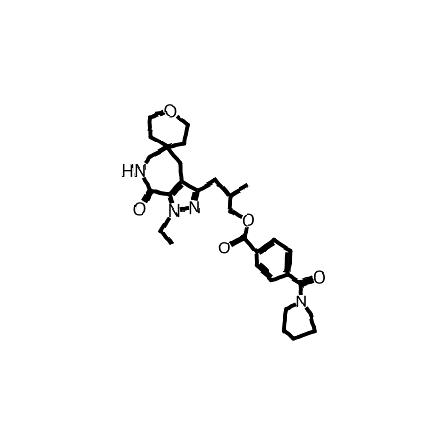 CCn1nc(CC(C)COC(=O)c2ccc(C(=O)N3CCCCC3)cc2)c2c1C(=O)NCC1(CCOCC1)C2